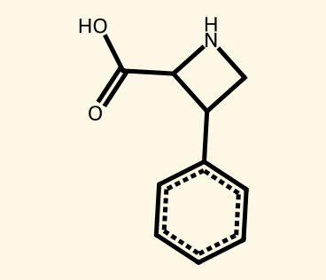 O=C(O)C1NCC1c1ccccc1